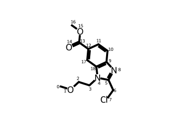 COCCn1c(CCl)nc2ccc(C(=O)OC)cc21